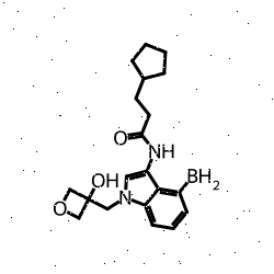 Bc1cccc2c1c(NC(=O)CCC1CCCC1)cn2CC1(O)COC1